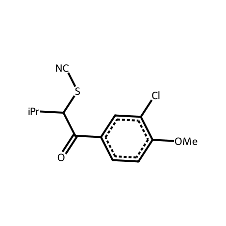 COc1ccc(C(=O)C(SC#N)C(C)C)cc1Cl